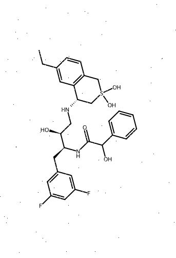 CCc1ccc2c(c1)[C@@H](NC[C@H](O)[C@H](Cc1cc(F)cc(F)c1)NC(=O)C(O)c1ccccc1)CS(O)(O)C2